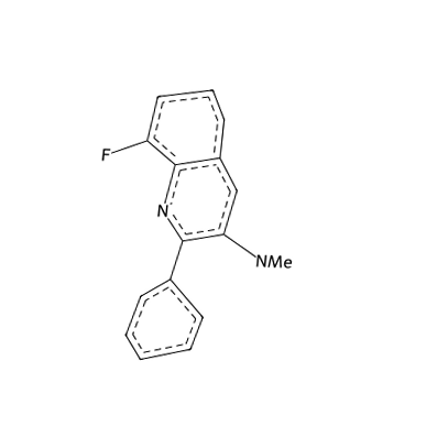 CNc1cc2cccc(F)c2nc1-c1ccccc1